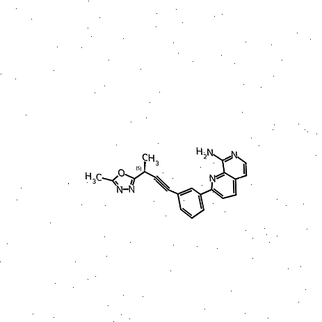 Cc1nnc([C@@H](C)C#Cc2cccc(-c3ccc4ccnc(N)c4n3)c2)o1